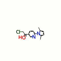 Cc1ccc(C)n1-c1ccc([C@H](O)CCl)cn1